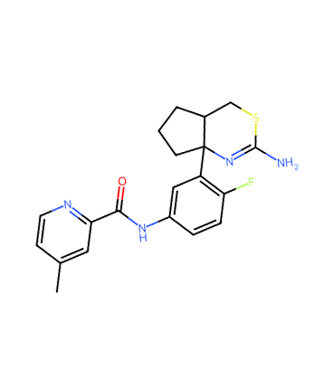 Cc1ccnc(C(=O)Nc2ccc(F)c(C34CCCC3CSC(N)=N4)c2)c1